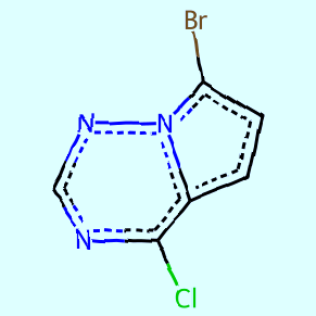 Clc1ncnn2c(Br)ccc12